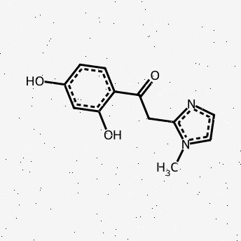 Cn1ccnc1CC(=O)c1ccc(O)cc1O